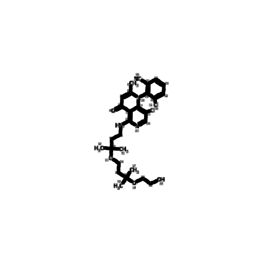 Cc1cc(=O)c2c(NCCC(C)(C)OCCC(C)(C)OCCO)ncc(Cl)c2n1-c1c(Cl)cccc1C#N